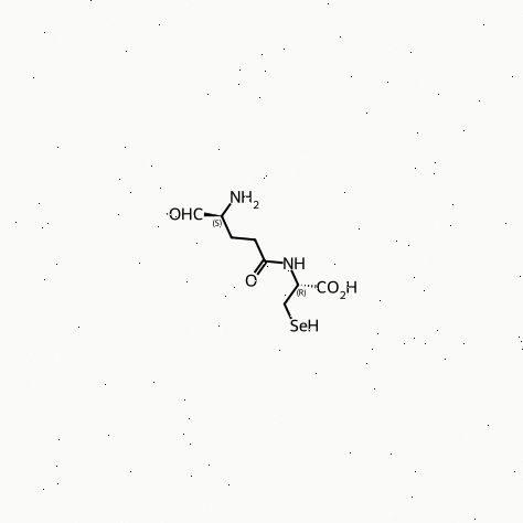 N[C@H]([C]=O)CCC(=O)N[C@@H](C[SeH])C(=O)O